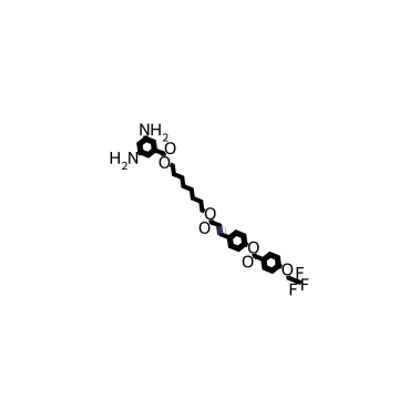 Nc1cc(N)cc(C(=O)OCCCCCCCCOC(=O)/C=C/c2ccc(OC(=O)c3ccc(OCC(F)(F)F)cc3)cc2)c1